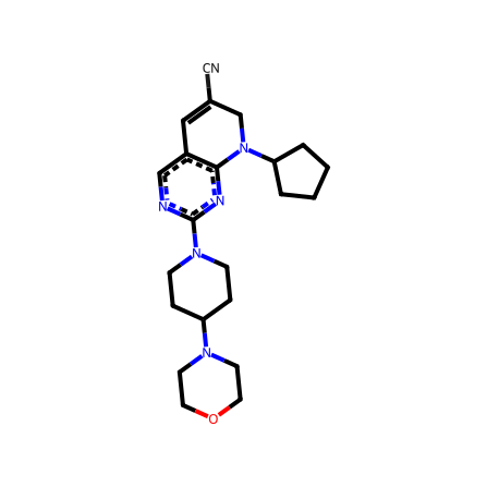 N#CC1=Cc2cnc(N3CCC(N4CCOCC4)CC3)nc2N(C2CCCC2)C1